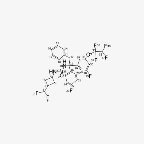 O=C(NC1CC(C(F)F)C1)NC(Cc1ccccc1)(c1ccc(F)cc1)c1cc(F)cc(OC(F)(F)C(F)F)c1